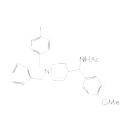 COc1ccc(C(NC(C)=O)C2CC[N+](Cc3ccccc3)(Cc3ccc(C)cc3)CC2)cc1